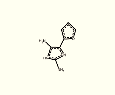 Nc1nc(-c2ccco2)c(N)[nH]1